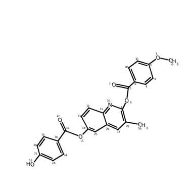 COc1ccc(C(=O)Oc2nc3ccc(OC(=O)c4ccc(O)cc4)cc3cc2C)cc1